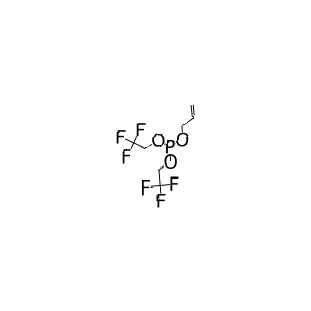 C=CCOP(OCC(F)(F)F)OCC(F)(F)F